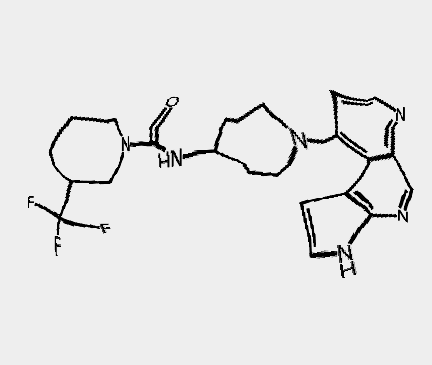 O=C(NC1CCN(c2ccnc3cnc4[nH]ccc4c23)CC1)N1CCCC(C(F)(F)F)C1